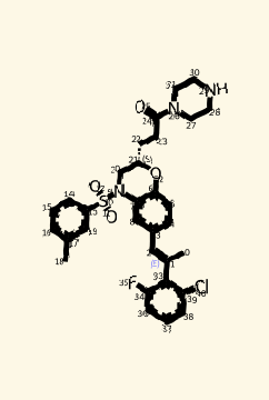 C/C(=C\c1ccc2c(c1)N(S(=O)(=O)c1cccc(C)c1)C[C@H](CCC(=O)N1CCNCC1)O2)c1c(F)cccc1Cl